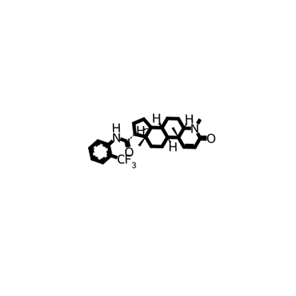 CN1C(=O)C=C[C@]2(C)[C@H]3CC[C@]4(C)[C@H](C(=O)Nc5ccccc5C(F)(F)F)CC[C@H]4[C@@H]3CC[C@@H]12